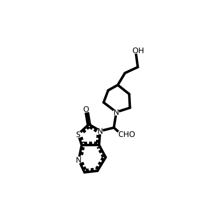 O=CC(N1CCC(CCO)CC1)n1c(=O)sc2ncccc21